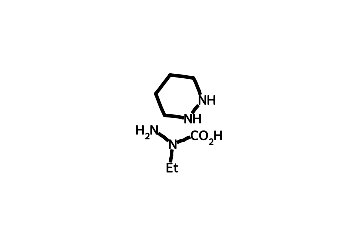 C1CCNNC1.CCN(N)C(=O)O